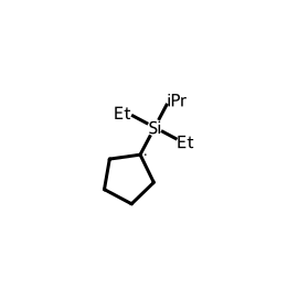 CC[Si](CC)([C]1CCCC1)C(C)C